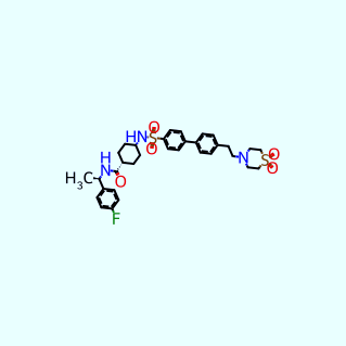 C[C@@H](NC(=O)[C@H]1CC[C@H](NS(=O)(=O)c2ccc(-c3ccc(CCN4CCS(=O)(=O)CC4)cc3)cc2)CC1)c1ccc(F)cc1